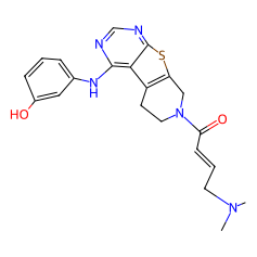 CN(C)CC=CC(=O)N1CCc2c(sc3ncnc(Nc4cccc(O)c4)c23)C1